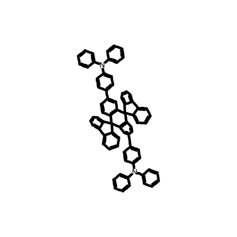 c1ccc(N(c2ccccc2)c2ccc(-c3ccc4c(c3)C3(c5ccccc5-c5ccccc53)c3ccc(-c5ccc(N(c6ccccc6)c6ccccc6)cc5)cc3C43c4ccccc4-c4ccccc43)cc2)cc1